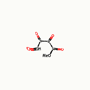 CO[Si](=O)[Si](=O)[Si](=O)[SiH]=O